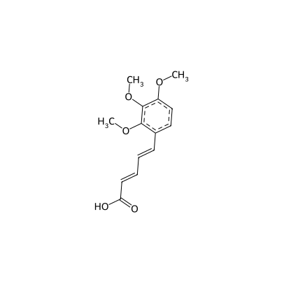 COc1ccc(/C=C/C=C/C(=O)O)c(OC)c1OC